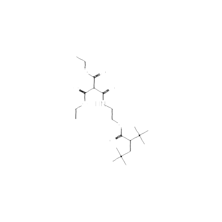 CCOC(=O)C(C(=O)NCCOC(=O)C(CC(C)(C)C)C(C)(C)C)C(=O)OCC